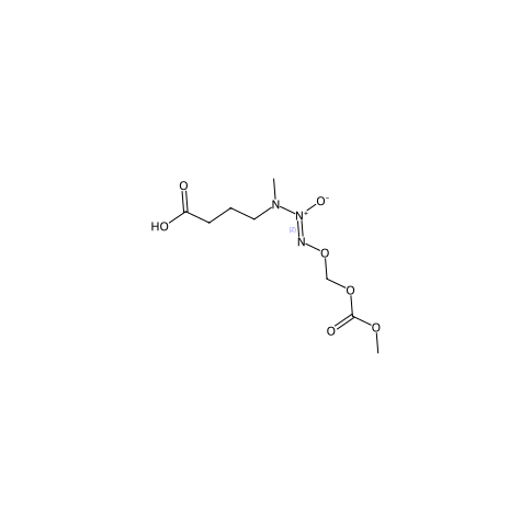 COC(=O)OCO/N=[N+](\[O-])N(C)CCCC(=O)O